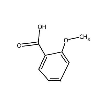 COc1c[c]ccc1C(=O)O